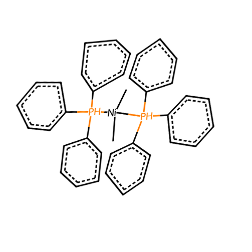 [CH3][Ni]([CH3])([PH](c1ccccc1)(c1ccccc1)c1ccccc1)[PH](c1ccccc1)(c1ccccc1)c1ccccc1